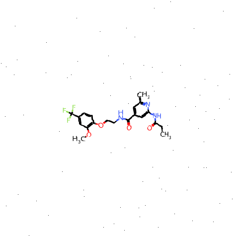 CCC(=O)Nc1cc(C(=O)NCCOc2ccc(C(F)(F)F)cc2OC)cc(C)n1